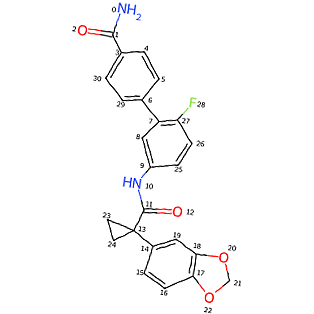 NC(=O)c1ccc(-c2cc(NC(=O)C3(c4ccc5c(c4)OCO5)CC3)ccc2F)cc1